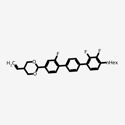 C=CC1COC(c2ccc(-c3ccc(-c4ccc(CCCCCC)c(F)c4F)cc3)c(F)c2)OC1